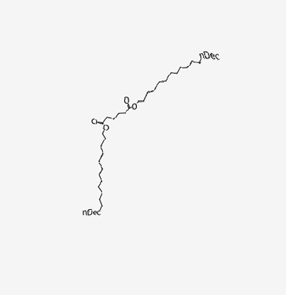 CCCCCCCCCCCCCCCCCCCCCCOC(=O)CCCCC(=O)OCCCCCCCCCCCCCCCCCCCCCC